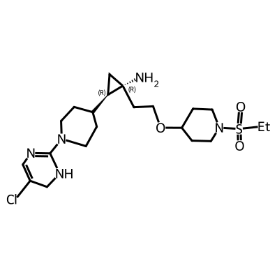 CCS(=O)(=O)N1CCC(OCC[C@]2(N)C[C@@H]2C2CCN(C3=NC=C(Cl)CN3)CC2)CC1